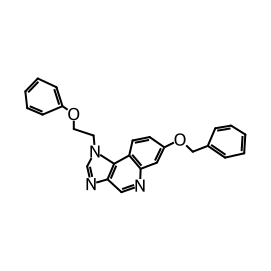 c1ccc(COc2ccc3c(c2)ncc2ncn(CCOc4ccccc4)c23)cc1